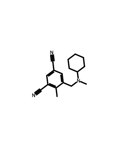 Cc1c(C#N)cc(C#N)cc1CN(C)C1CCCCC1